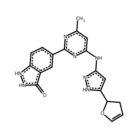 Cc1cc(Nc2cc(C3CC=CO3)[nH]n2)nc(-c2ccc3[nH][nH]c(=O)c3c2)n1